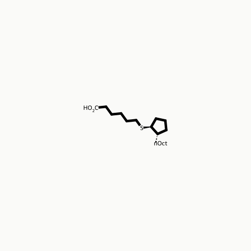 CCCCCCCC[C@H]1CCC[C@@H]1SCCCCCC(=O)O